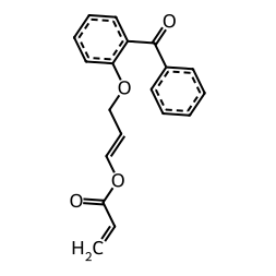 C=CC(=O)OC=CCOc1ccccc1C(=O)c1ccccc1